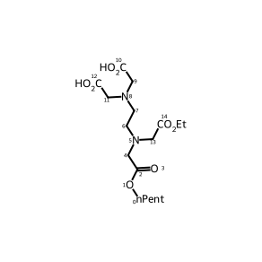 CCCCCOC(=O)CN(CCN(CC(=O)O)CC(=O)O)CC(=O)OCC